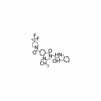 CCN1CCN(CC(O)C2Cc3ccccc3CN2)C(=O)c2ccc(C(=O)N3CCC4(CC3)CC4(F)F)cc21